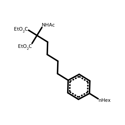 CCCCCCc1ccc(CCCCC(NC(C)=O)(C(=O)OCC)C(=O)OCC)cc1